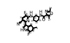 Cc1cc(F)c2[nH]cc(-c3nc(N[C@@H]4CCC[C@@H](NC(=O)c5nc(C)oc5C)C4)c(F)cc3C#N)c2c1